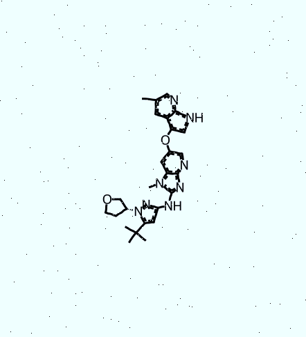 Cc1cnc2[nH]cc(Oc3cnc4nc(Nc5cc(C(C)(C)C)n([C@@H]6CCOC6)n5)n(C)c4c3)c2c1